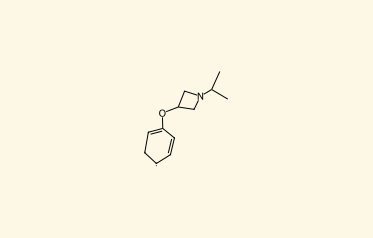 CC(C)N1CC(OC2=CC[CH]C=C2)C1